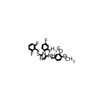 COc1ccc(CNc2cnc(SCc3c(F)cccc3F)n2-c2ccc(F)cc2F)cc1OC